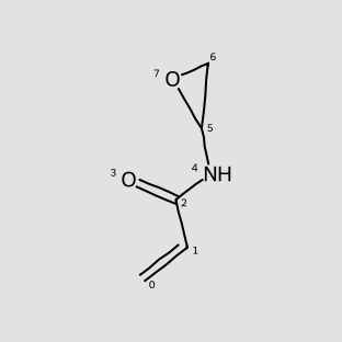 C=CC(=O)NC1CO1